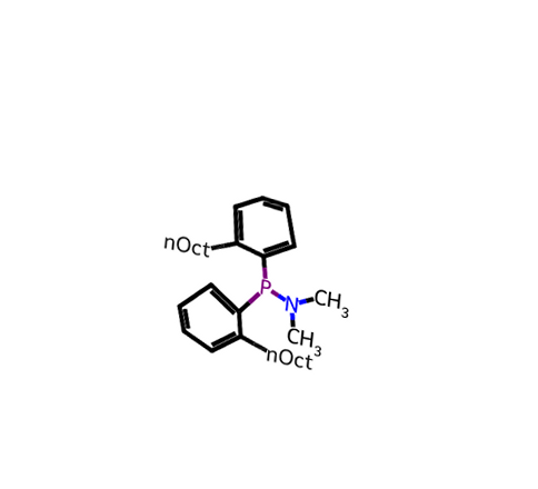 CCCCCCCCc1ccccc1P(c1ccccc1CCCCCCCC)N(C)C